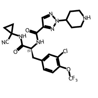 N#CC1(NC(=O)[C@H](Cc2ccc(OC(F)(F)F)c(Cl)c2)NC(=O)c2cnn(C3CCNCC3)n2)CC1